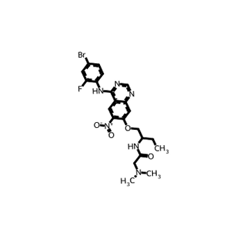 CCC(COc1cc2ncnc(Nc3ccc(Br)cc3F)c2cc1[N+](=O)[O-])NC(=O)CN(C)C